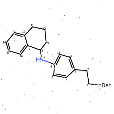 CCCCCCCCCCCCc1ccc(NC2CCCc3ccccc32)cc1